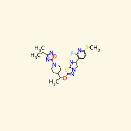 CSc1ccc(C2CN3N=C(O[C@@H](C)C4CCN(c5nc(C(C)C)no5)CC4)SC3=N2)c(F)n1